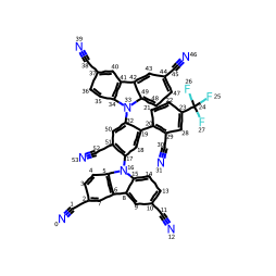 N#Cc1ccc2c(c1)c1cc(C#N)ccc1n2-c1cc(-c2ccc(C(F)(F)F)cc2C#N)c(-n2c3ccc(C#N)cc3c3cc(C#N)ccc32)cc1C#N